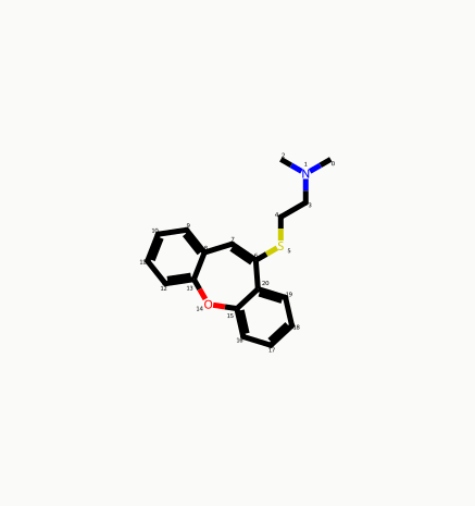 CN(C)CCSC1=Cc2ccccc2Oc2ccccc21